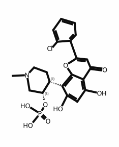 CN1CC[C@H](c2c(O)cc(O)c3c(=O)cc(-c4ccccc4Cl)oc23)[C@H](OP(=O)(O)O)C1